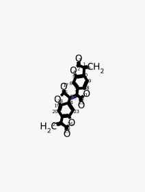 C=C1C(=O)Oc2cc3c(cc21)OC(=O)/C3=C1/C(=O)Oc2cc3c(cc21)OC(=O)C3=C